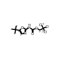 CC(C)(C)c1cnc(NC(=O)OCC(Cl)(Cl)Cl)o1